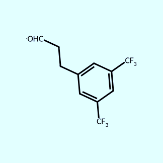 O=[C]CCc1cc(C(F)(F)F)cc(C(F)(F)F)c1